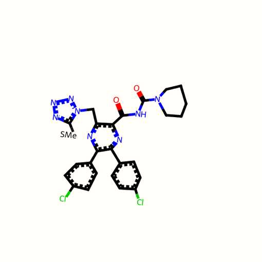 CSc1nnnn1Cc1nc(-c2ccc(Cl)cc2)c(-c2ccc(Cl)cc2)nc1C(=O)NC(=O)N1CCCCC1